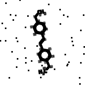 CCc1ccc(/C=C/c2ccc(CC)cc2)cc1